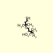 CC(C)(CCS)OCCC(C)(C)C(=O)O